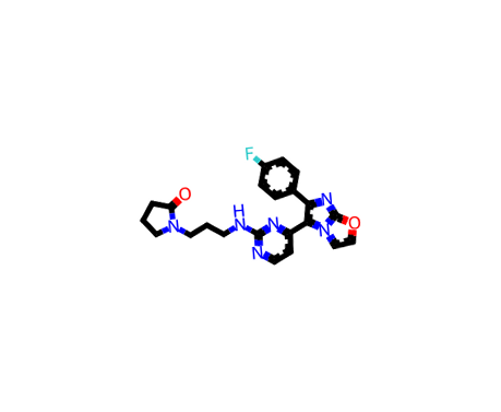 O=C1CCCN1CCCNc1nccc(-c2c(-c3ccc(F)cc3)nc3occn23)n1